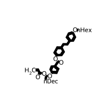 C=CC(=O)OC(CCCCCCCCCC)Oc1ccc(C(=O)Oc2ccc(CCc3ccc(OCCCCCC)cc3)cc2)cc1